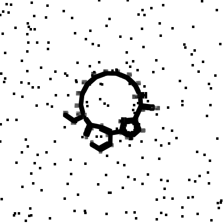 C=C1/C=C(\C=C/C)c2nc(cs2)C(=O)NCCCCCCCCN1CC